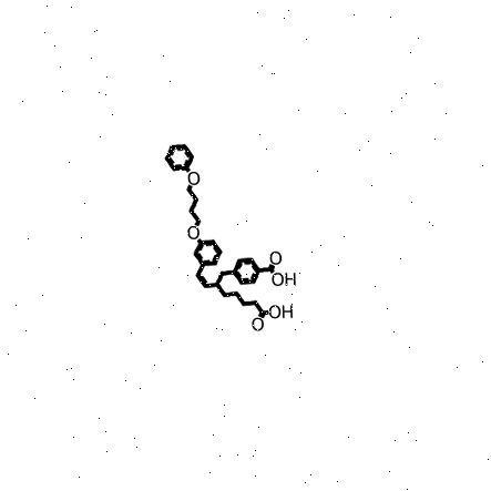 O=C(O)CCCCC(/C=C\c1cccc(OCCCCOc2ccccc2)c1)Cc1ccc(C(=O)O)cc1